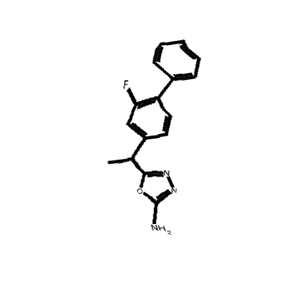 CC(c1ccc(-c2ccccc2)c(F)c1)c1nnc(N)o1